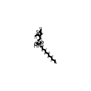 CCCCCCCCCCNS(=O)(=O)CCc1cc(C)sc1C